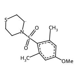 COc1cc(C)c(S(=O)(=O)N2[CH]CSCC2)c(C)c1